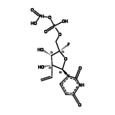 C=C[C@]1(O)[C@H](n2ccc(=O)[nH]c2=O)O[C@](F)(COP(=O)(O)O[PH](=O)O)[C@H]1O